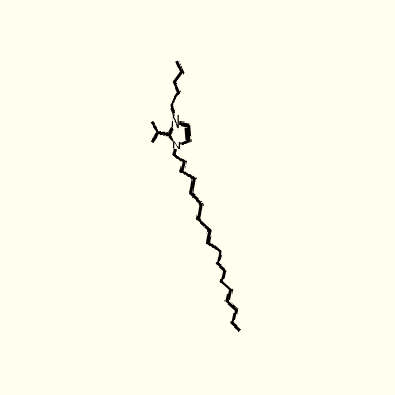 CCCCCCCCCCCCCCCCCCN1C=CN(CCCCC)C1C(C)C